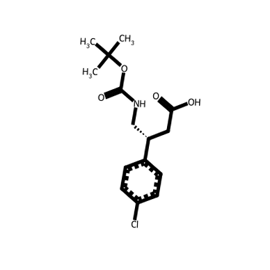 CC(C)(C)OC(=O)NC[C@H](CC(=O)O)c1ccc(Cl)cc1